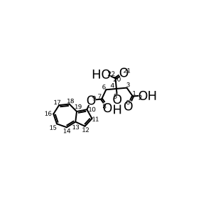 O=C(O)CC(O)(CC(=O)Oc1ccc2cccccc1-2)C(=O)O